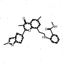 CNC(=O)c1ccccc1NCCc1cc(C)cc2c(=O)c(C)c(-c3ccc4nn(C)cc4c3)oc12